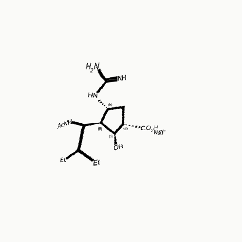 CCC(CC)C(NC(C)=O)[C@@H]1[C@H](O)[C@@H](C(=O)O)C[C@H]1NC(=N)N.[Cl-].[Na+]